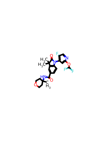 CC1(NC(=O)c2ccc3c(c2)C(C)(C)C(=O)N3c2cc(OC(F)F)ncc2F)CCOCC1